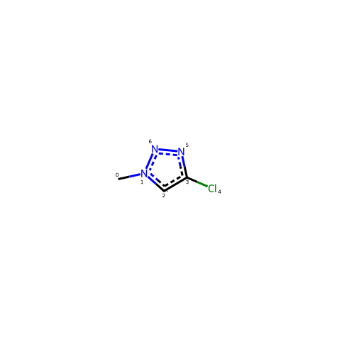 Cn1[c]c(Cl)nn1